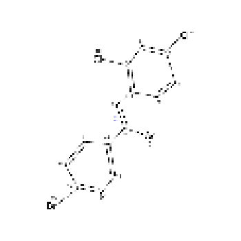 CC(=O)/C(=C\c1ccc(Cl)cc1Cl)c1ccc(Br)cc1